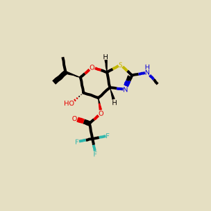 C=C(C)[C@H]1O[C@@H]2SC(NC)=N[C@@H]2[C@@H](OC(=O)C(F)(F)F)[C@@H]1O